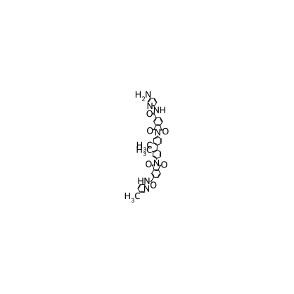 Cc1ccc(NC(=O)c2ccc3c(c2)C(=O)N(c2ccc(-c4ccc(N5C(=O)c6ccc(C(=O)Nc7ccc(N)cn7)cc6C5=O)cc4C)c(C)c2)C3=O)nc1